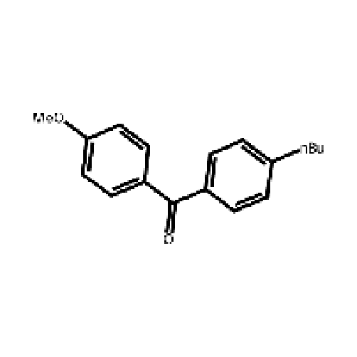 CCCCc1ccc(C(=O)c2ccc(OC)cc2)cc1